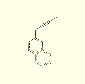 CC#CCc1ccc2ccnnc2c1